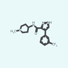 CN1CCC(NC(=O)c2n[nH]cc2-c2cccc(C(F)(F)F)c2)CC1